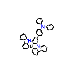 c1ccc(N(c2ccccc2)c2ccc(-c3cc4c5c(c3)-n3c6ccccc6c6cccc(c63)B5c3cccc5c6ccccc6n-4c35)cc2)cc1